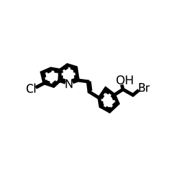 OC(CBr)c1cccc(C=Cc2ccc3ccc(Cl)cc3n2)c1